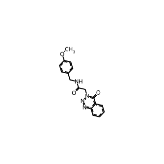 COc1ccc(CNC(=O)Cn2nnc3ccccc3c2=O)cc1